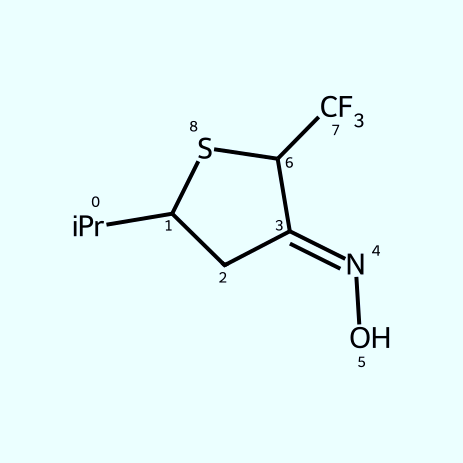 [CH2]C(C)C1CC(=NO)C(C(F)(F)F)S1